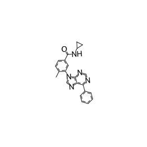 Cc1ccc(C(=O)NC2CC2)cc1-n1cnc2c(-c3ccccc3)ncnc21